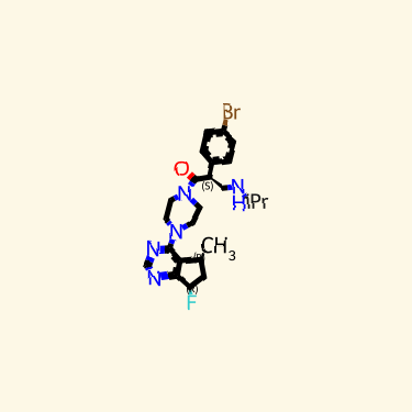 CC(C)NC[C@@H](C(=O)N1CCN(c2ncnc3c2[C@H](C)C[C@H]3F)CC1)c1ccc(Br)cc1